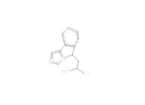 CC(C)C(O)CC1c2ccccc2-c2cncn21